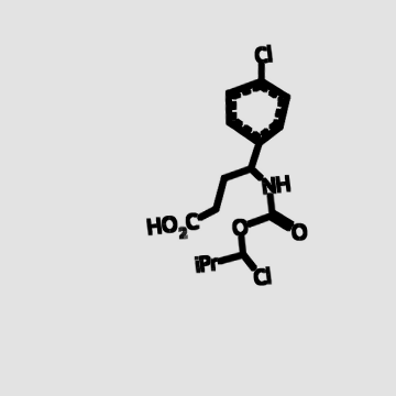 CC(C)C(Cl)OC(=O)NC(CCC(=O)O)c1ccc(Cl)cc1